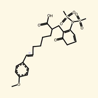 COc1ccc(/C=C/CCCCC(CC2=C(N(S(C)(=O)=O)S(C)(=O)=O)C=CCC2=O)C(=O)O)cc1